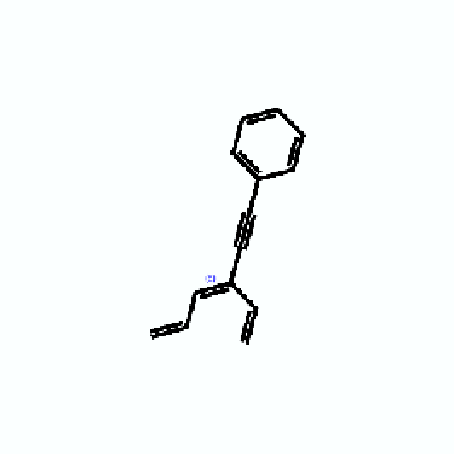 C=C/C=C(/C#Cc1ccccc1)C=C